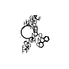 CC[C@@H]1C[C@H](C)CC/C=C\[C@@H]2C[C@@]2(C(=O)NS(=O)(=O)C2(CF)CC2)NC(=O)[C@@H]2C[C@@H](Oc3nc4c(c5ccccc35)CCCO4)CN2C(=O)[C@H]1NC(=O)OC(C)(C)C(F)(F)F